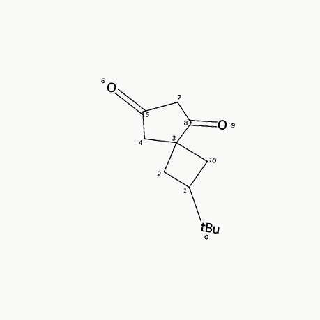 CC(C)(C)C1CC2(CC(=O)CC2=O)C1